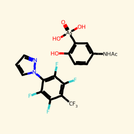 CC(=O)Nc1ccc(O)c([As](=O)(O)O)c1.Fc1c(F)c(C(F)(F)F)c(F)c(F)c1-n1cccn1